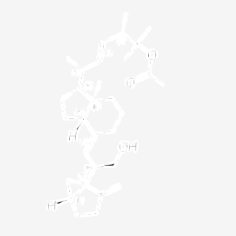 C=C1CC[C@@H]2C[C@]12[C@@H](/C=C1\CCC[C@]2(C)[C@@H]([C@H](C)/C=C/[C@H](C)C(C)(C)OC(C)=O)CC[C@@H]12)CO